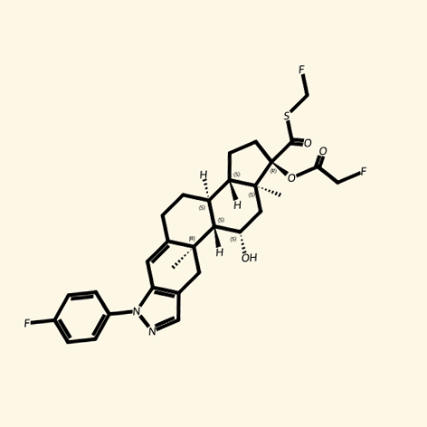 C[C@]12Cc3cnn(-c4ccc(F)cc4)c3C=C1CC[C@@H]1[C@@H]2[C@@H](O)C[C@@]2(C)[C@H]1CC[C@]2(OC(=O)CF)C(=O)SCF